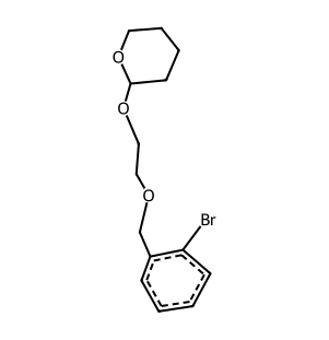 Brc1ccccc1COCCOC1CCCCO1